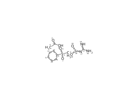 CC(=O)O.CS(=O)(=O)c1ccccc1.N=C(N)N=S(=O)=O